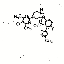 Cc1cc(-c2c(F)ccc(N3C[C@H]4CCN(c5nc(C)c(Cl)c(C)n5)C[C@H]43)c2C=O)on1